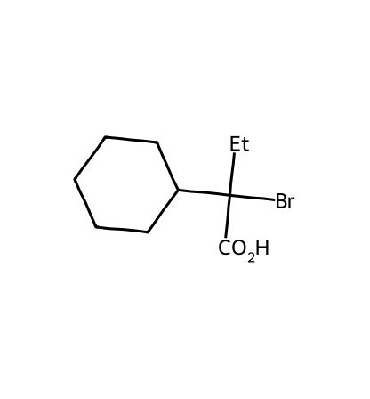 CCC(Br)(C(=O)O)C1CCCCC1